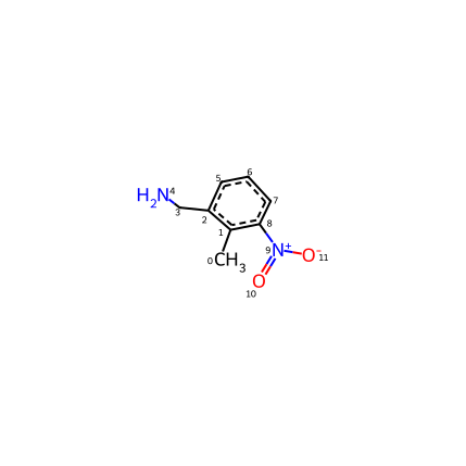 Cc1c(CN)cccc1[N+](=O)[O-]